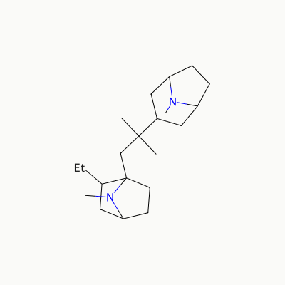 CCC1CC2CCC1(CC(C)(C)C1CC3CCC(C1)N3C)N2C